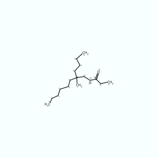 CCCCCCC(C)(CCCC)CNC(=O)CC